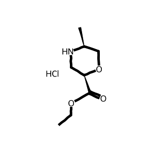 CCOC(=O)[C@H]1CN[C@@H](C)CO1.Cl